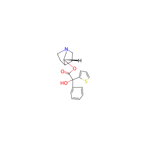 O=C(O[C@H]1CN2CCC1CC2)C(O)(c1ccccc1)c1cccs1